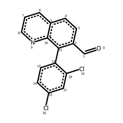 O=Cc1ccc2cccnc2c1-c1ccc(Cl)cc1Cl